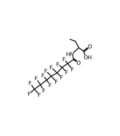 CCC(NC(=O)C(F)(F)C(F)(F)C(F)(F)C(F)(F)C(F)(F)C(F)(F)C(F)(F)F)C(=O)O